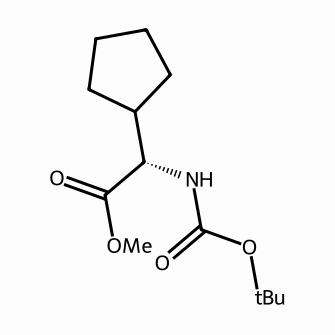 COC(=O)[C@@H](NC(=O)OC(C)(C)C)C1CCCC1